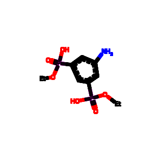 CCOP(=O)(O)c1cc(N)cc(P(=O)(O)OCC)c1